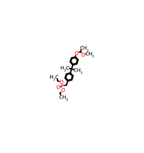 CCOP(=O)(Cc1ccc(C(C)(C)c2ccc(OC(C)OC)cc2)cc1)OCC